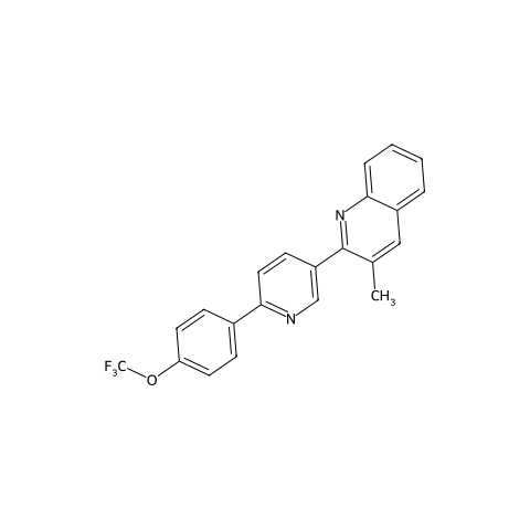 Cc1cc2ccccc2nc1-c1ccc(-c2ccc(OC(F)(F)F)cc2)nc1